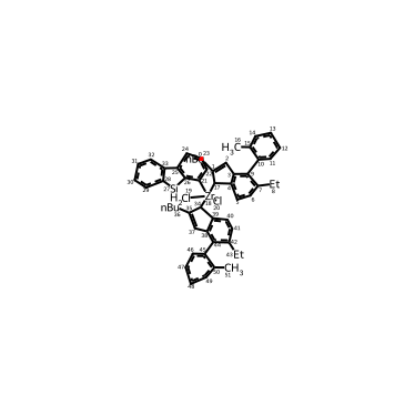 CCCCC1=Cc2c(ccc(CC)c2-c2ccccc2C)[CH]1[Zr]([Cl])([Cl])([c]1cccc2c1[SiH2]c1ccccc1-2)[CH]1C(CCCC)=Cc2c1ccc(CC)c2-c1ccccc1C